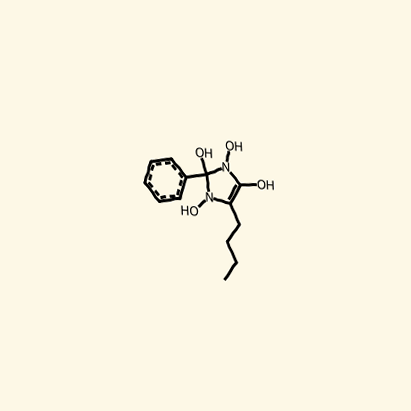 CCCCC1=C(O)N(O)C(O)(c2ccccc2)N1O